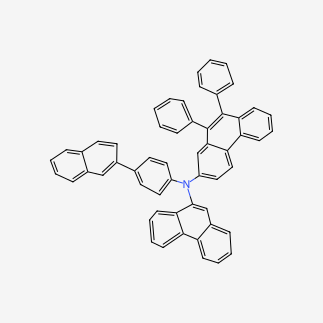 c1ccc(-c2c(-c3ccccc3)c3cc(N(c4ccc(-c5ccc6ccccc6c5)cc4)c4cc5ccccc5c5ccccc45)ccc3c3ccccc23)cc1